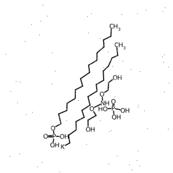 CCCCCCCCCCCCCCCCOP(=O)(O)O.CCCCCCCCCCCCCCC[CH2][K].O=P(O)(O)O.OCCONOCCO